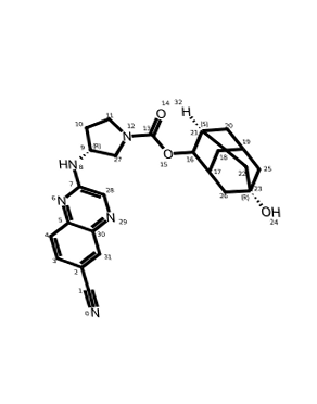 N#Cc1ccc2nc(N[C@@H]3CCN(C(=O)OC4C5CC6C[C@H]4C[C@@](O)(C6)C5)C3)cnc2c1